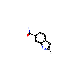 NC(=O)c1ccc2cc(C(=O)O)[nH]c2c1